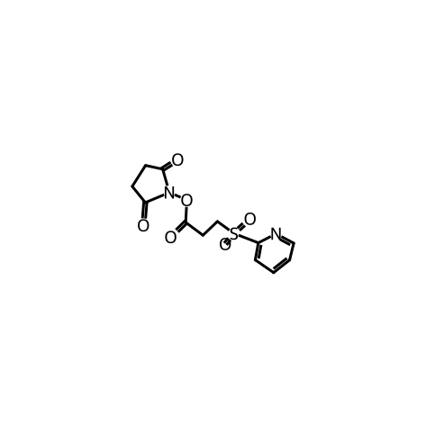 O=C(CCS(=O)(=O)c1ccccn1)ON1C(=O)CCC1=O